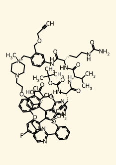 C#CCOCc1cc(NC(=O)[C@H](CCCNC(N)=O)NC(=O)[C@@H](NC(=O)[C@H](CC#C)NC(=O)OC(C)(C)C)C(C)C)ccc1C[N+]1(C)CCN(CCOc2ccc(-c3c(-c4ccc(F)cc4)sc4ncnc(O[C@H](Cc5ccccc5OCc5ccnc(-c6ccccc6OC)n5)C(=O)O)c34)c(C)c2Cl)CC1